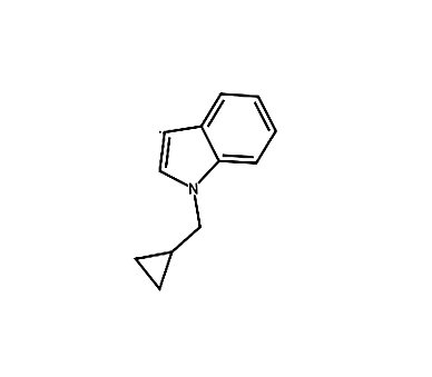 [c]1cn(CC2CC2)c2ccccc12